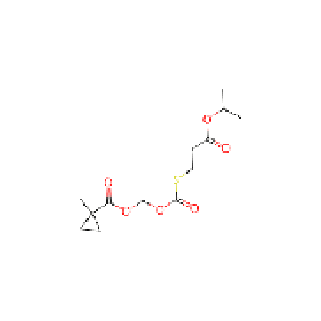 CC(C)OC(=O)CCSC(=O)OCOC(=O)C1(C)CC1